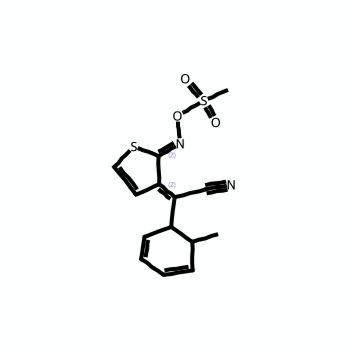 CC1C=CC=CC1/C(C#N)=C1\C=CS\C1=N/OS(C)(=O)=O